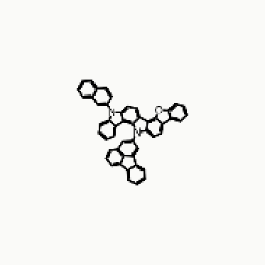 c1ccc2c(c1)-c1cccc3cc(-n4c5ccc6c7ccccc7oc6c5c5ccc6c(c7ccccc7n6-c6ccc7ccccc7c6)c54)cc-2c13